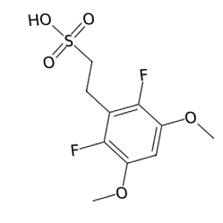 COc1cc(OC)c(F)c(CCS(=O)(=O)O)c1F